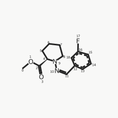 COC(=O)[C@H]1CCCCN1/N=C\c1cccc(F)c1